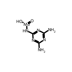 Nc1nc(N)nc([NH][Mo](=[O])[OH])n1